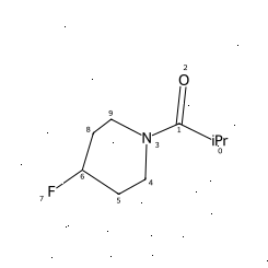 CC(C)C(=O)N1CCC(F)CC1